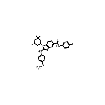 C[C@H]1C[C@@H](n2c(Nc3ccc(OC(F)(F)F)cc3)nc3cc(C(=O)Nc4ccc(F)cc4)ccc32)CC(C)(C)C1